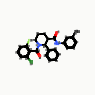 CC(C)(C)c1cccc(NC(=O)C2CCCN(C(=O)c3c(F)cccc3Cl)C2c2ccccc2)c1